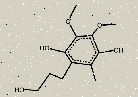 COc1c(O)c(C)c(CCCO)c(O)c1OC